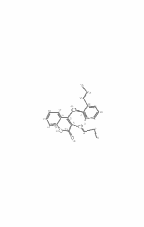 CCCOc1c(Oc2ccccc2CCC)c2ccccc2oc1=O